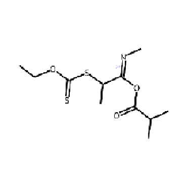 CCOC(=S)SC(C)/C(=N/C)OC(=O)C(C)C